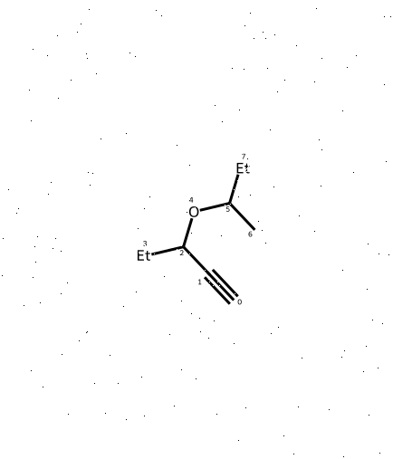 C#CC(CC)OC(C)CC